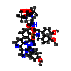 COc1ccc(CN(Cc2ccc(OC)cc2)S(=O)(=O)c2c(S(=O)(=O)NC(CN(C(=O)O)C(C)(C)C)CN(C(=O)O)C(C)(C)C)ccc(-c3ccnc(-c4cnc5ccncn45)c3)c2-c2nnn(Cc3ccc(OC)cc3)n2)cc1